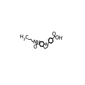 CCCCNC(=O)c1ccc2c(c1)CCN2c1ccc(C(=O)O)cc1